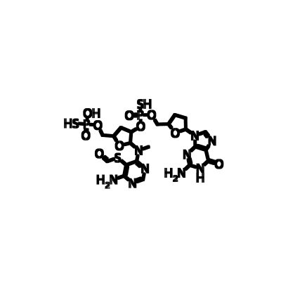 CN(c1ncnc(N)c1SC=O)C1OC(COP(=O)(O)S)CC1OP(=O)(S)OCC1CCC(n2cnc3c(=O)[nH]c(N)nc32)O1